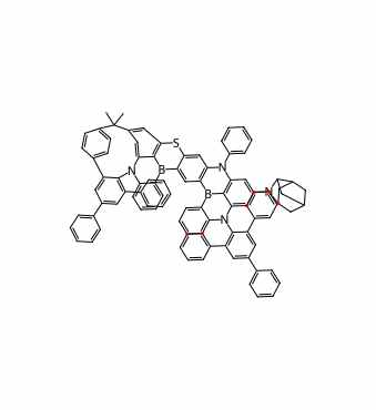 CC1(C)c2ccc(cc2)-c2cc(-c3ccccc3)cc(-c3ccccc3)c2N2c3ccccc3B3c4cc5c(cc4Sc4cc1cc2c43)N(c1ccccc1)c1cc(N2C3CC4CC(C3)C2C4)cc2c1B5c1ccccc1N2c1c(-c2ccccc2)cc(-c2ccccc2)cc1-c1ccccc1